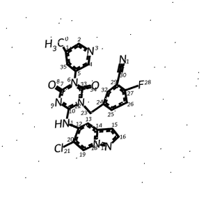 Cc1cncc(-n2c(=O)nc(Nc3cc4ccnn4cc3Cl)n(Cc3ccc(F)c(C#N)c3)c2=O)c1